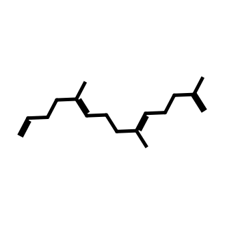 C=CCCC(C)=CCCC(C)=CCCC(=C)C